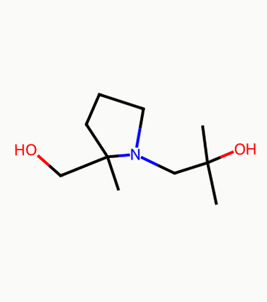 CC(C)(O)CN1CCCC1(C)CO